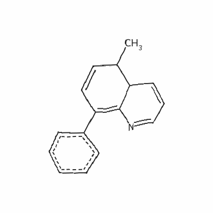 CC1C=CC(c2ccccc2)=C2N=CC=CC21